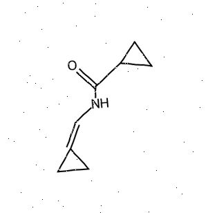 O=C(NC=C1CC1)C1CC1